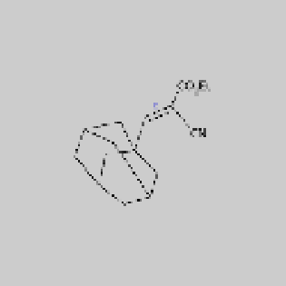 CCOC(=O)/C(C#N)=C/C12CC3CC(CC(C3)C1)C2